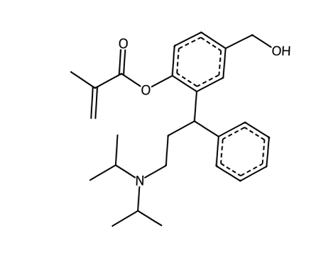 C=C(C)C(=O)Oc1ccc(CO)cc1C(CCN(C(C)C)C(C)C)c1ccccc1